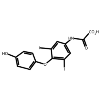 O=C(O)C(=O)Nc1cc(I)c(Oc2ccc(O)cc2)c(I)c1